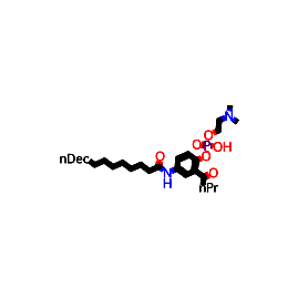 CCCCCCCCCCCCCCCCCC(=O)Nc1ccc(OP(=O)(O)OCCN(C)C)c(C(=O)CCC)c1